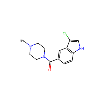 CC(C)N1CCN(C(=O)c2ccc3[nH]cc(Cl)c3c2)CC1